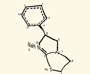 [NaH].c1ccc([C@H]2CN3CCSC3=N2)cc1